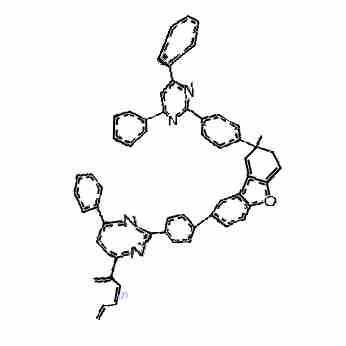 C=C/C=C\C(=C)c1cc(-c2ccccc2)nc(-c2ccc(-c3ccc4oc5c(c4c3)=CC(C)(c3ccc(-c4nc(-c6ccccc6)cc(-c6ccccc6)n4)cc3)CC=5)cc2)n1